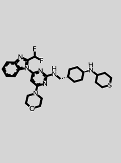 FC(F)c1nc2ccccc2n1-c1cc(N2CCOCC2)nc(NC[C@H]2CC[C@H](NC3CCSCC3)CC2)n1